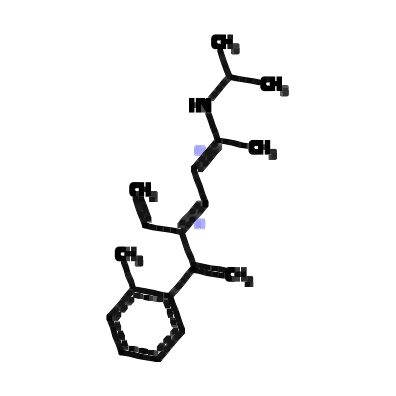 C=C/C(=C\C=C(/C)NC(C)C)C(=C)c1ccccc1C